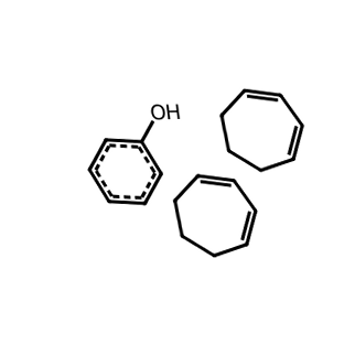 C1=CCCCC=C1.C1=CCCCC=C1.Oc1ccccc1